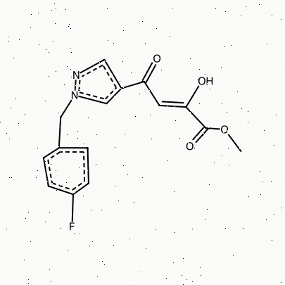 COC(=O)/C(O)=C/C(=O)c1cnn(Cc2ccc(F)cc2)c1